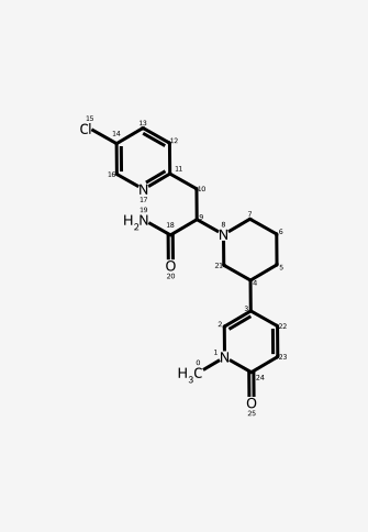 Cn1cc(C2CCCN(C(Cc3ccc(Cl)cn3)C(N)=O)C2)ccc1=O